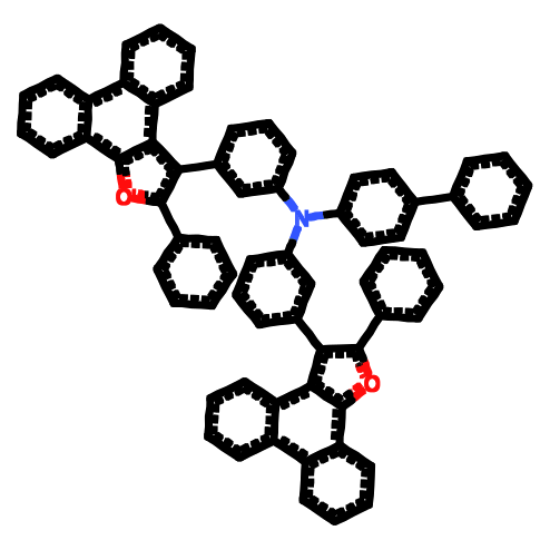 c1ccc(-c2ccc(N(c3cccc(-c4c(-c5ccccc5)oc5c6ccccc6c6ccccc6c45)c3)c3cccc(-c4c(-c5ccccc5)oc5c6ccccc6c6ccccc6c45)c3)cc2)cc1